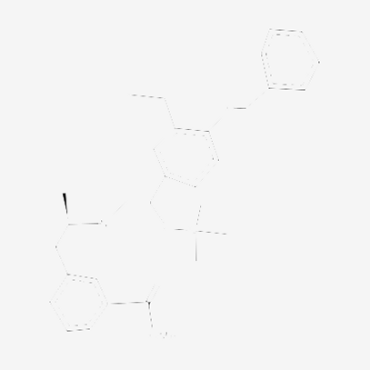 COC(=O)c1cccc(C[C@@H](C)NC[C@@H](O[Si](C)(C)C(C)(C)C)c2ccc(OCc3ccccc3)c(CO)c2)c1